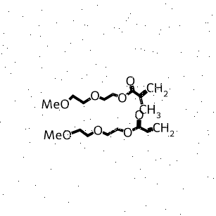 C=C(C)C(=O)OCCOCCOC.C=CC(=O)OCCOCCOC